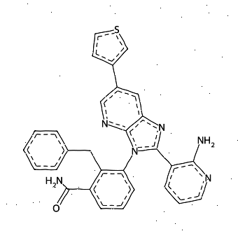 NC(=O)c1cccc(-n2c(-c3cccnc3N)nc3cc(-c4ccsc4)cnc32)c1Cc1ccccc1